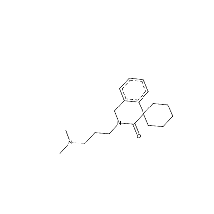 CN(C)CCCN1Cc2ccccc2C2(CCCCC2)C1=O